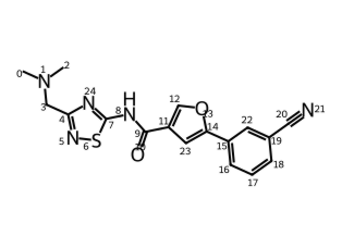 CN(C)Cc1nsc(NC(=O)c2coc(-c3cccc(C#N)c3)c2)n1